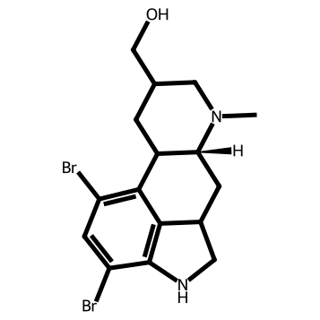 CN1CC(CO)CC2c3c(Br)cc(Br)c4c3C(CN4)C[C@H]21